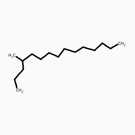 [CH2]CCCCCCCCCCC(C)CC[CH2]